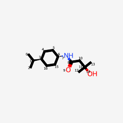 CC(C)[C@H]1CC[C@H](NC(=O)CC(C)(C)O)CC1